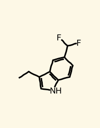 CCc1c[nH]c2ccc(C(F)F)cc12